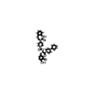 O=C(O[C@H](Cc1ccc(O)c(Br)c1)C(=O)N1CCN(C2CCCCC2)CC1)N1CCC(N2CCc3ccccc3NC2=O)CC1